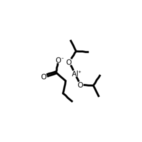 CC(C)[O][Al+][O]C(C)C.CCCC(=O)[O-]